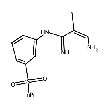 CCCS(=O)(=O)c1cccc(NC(=N)/C(C)=C\N)c1